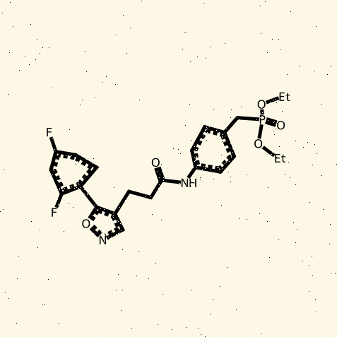 CCOP(=O)(Cc1ccc(NC(=O)CCc2cnoc2-c2ccc(F)cc2F)cc1)OCC